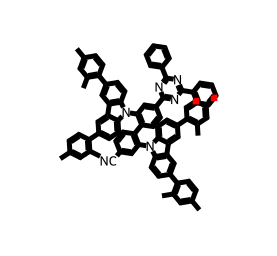 Cc1ccc(-c2ccc3c(c2)c2cc(-c4ccc(C)cc4C)ccc2n3-c2cc(C#N)ccc2-c2ccc(-c3nc(-c4ccccc4)nc(-c4ccccc4)n3)cc2-n2c3ccc(-c4ccc(C)cc4C)cc3c3cc(-c4ccc(C)cc4C)ccc32)c(C)c1